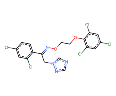 Clc1ccc(C(Cn2cncn2)=NOCCOc2c(Cl)cc(Cl)cc2Cl)c(Cl)c1